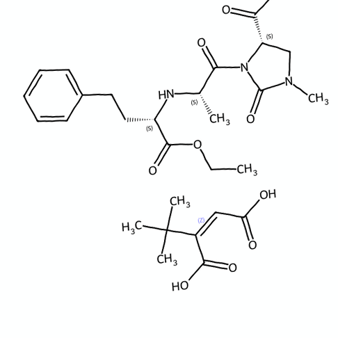 CC(C)(C)/C(=C/C(=O)O)C(=O)O.CCOC(=O)[C@H](CCc1ccccc1)N[C@@H](C)C(=O)N1C(=O)N(C)C[C@H]1C(=O)O